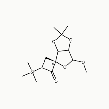 COC1O[C@@]2(CC([Si](C)(C)C)C2=O)C2OC(C)(C)OC12